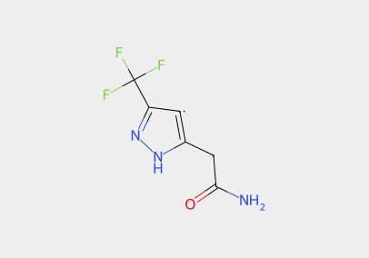 NC(=O)Cc1[c]c(C(F)(F)F)n[nH]1